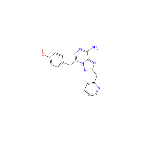 COc1ccc(Cc2cnc(N)c3nc(Cc4ccccn4)nn23)cc1